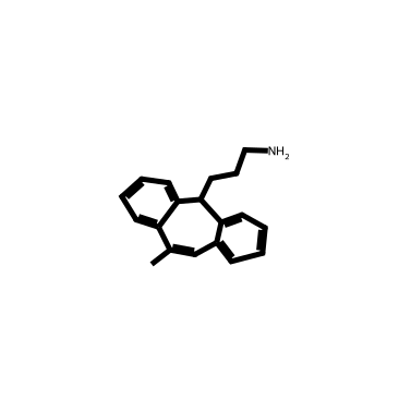 CC1=Cc2ccccc2C(CCCN)c2ccccc21